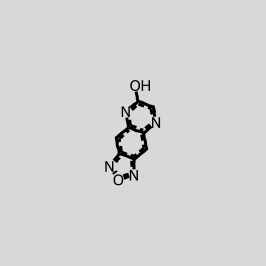 Oc1cnc2cc3nonc3cc2n1